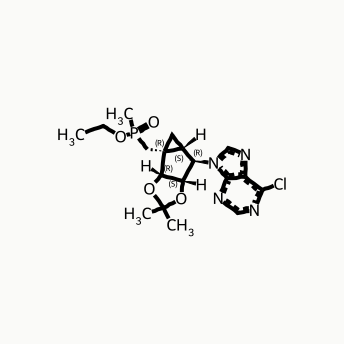 CCOP(C)(=O)C[C@]12C[C@@H]1[C@@H](n1cnc3c(Cl)ncnc31)[C@@H]1OC(C)(C)O[C@@H]12